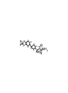 NN/C(C=O)=C(\N)c1ccc(-c2ccc3c(c2)CC(F)(F)C3)cc1